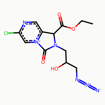 CCOC(=O)C1c2cnc(Cl)c[n+]2C(=O)N1CC(O)CN=[N+]=[N-]